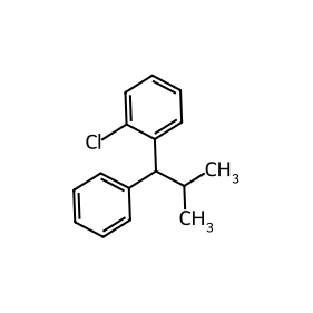 CC(C)C(c1ccccc1)c1ccccc1Cl